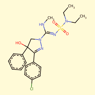 CCN(CC)S(=O)(=O)/N=C(\NC)N1CC(O)(c2ccccc2)C(c2ccc(Cl)cc2)=N1